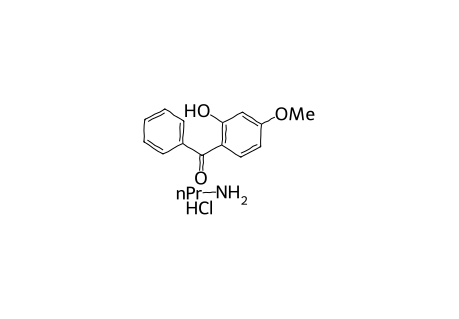 CCCN.COc1ccc(C(=O)c2ccccc2)c(O)c1.Cl